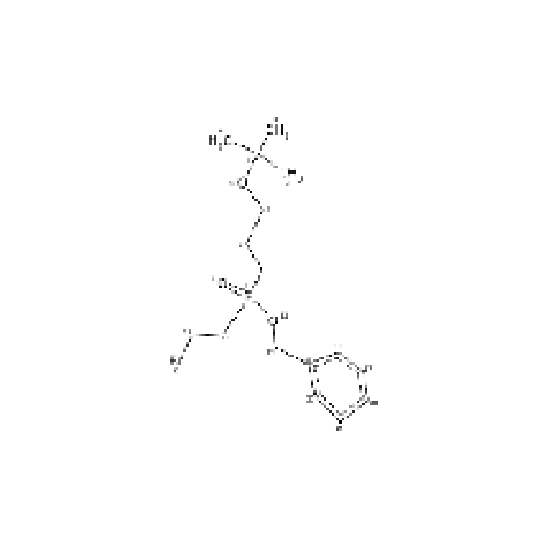 CC(C)(C)OCCCP(=O)(CCBr)OCc1ccccc1